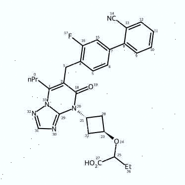 CCCc1c(Cc2ccc(-c3ccccc3C#N)cc2F)c(=O)n([C@H]2C[C@H](OC(CC)C(=O)O)C2)c2ncnn12